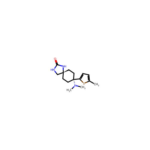 Cc1ccc([C@]2(N(C)C)CC[C@@]3(CC2)CNC(=O)N3)s1